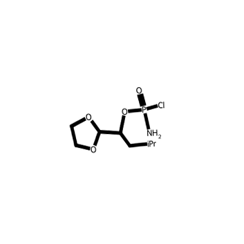 CC(C)CC(OP(N)(=O)Cl)C1OCCO1